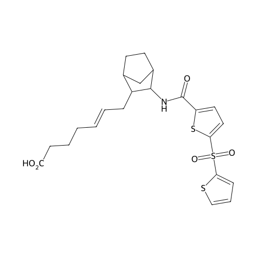 O=C(O)CCCC=CCC1C2CCC(C2)C1NC(=O)c1ccc(S(=O)(=O)c2cccs2)s1